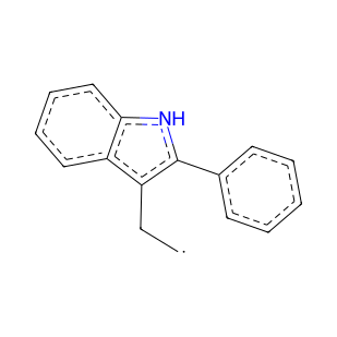 [CH2]Cc1c(-c2ccccc2)[nH]c2ccccc12